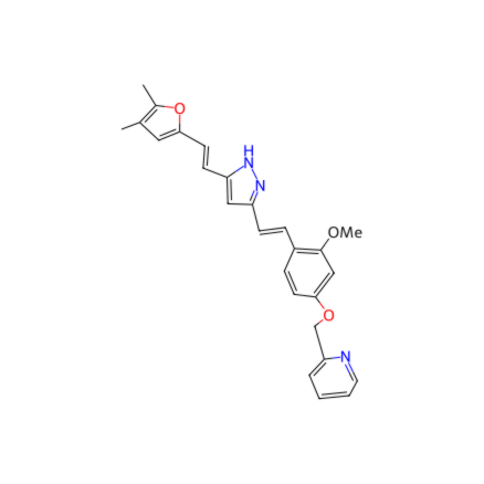 COc1cc(OCc2ccccn2)ccc1C=Cc1cc(/C=C/c2cc(C)c(C)o2)[nH]n1